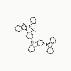 CC1(C)c2cc(-n3c4ccccc4c4cc(-n5c6ccccc6c6ccccc65)ccc43)ccc2-n2c(nc3ccccc32)N1c1ccccc1